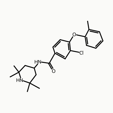 Cc1ccccc1Oc1ccc(C(=O)NC2CC(C)(C)NC(C)(C)C2)cc1Cl